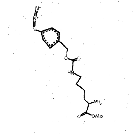 COC(=O)C(N)CCCCNC(=O)OCc1ccc(N=[N+]=[N-])cc1